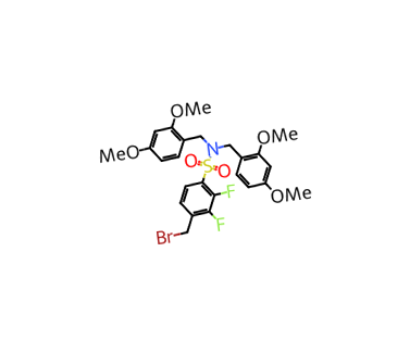 COc1ccc(CN(Cc2ccc(OC)cc2OC)S(=O)(=O)c2ccc(CBr)c(F)c2F)c(OC)c1